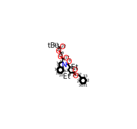 CC[C@H](C[C@@H](CC)C(=O)N1c2ccccc2C[C@H]1C(=O)OCOC(=O)C(C)(C)C)C(=O)OCc1ccccc1